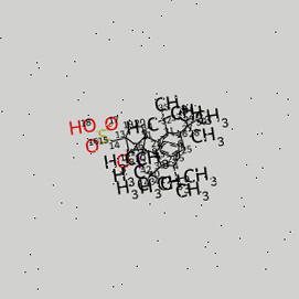 CC(C)(C)c1cccc(C2(I)C(=O)C3(CS(=O)(=O)O)CCC2(c2cccc(C(C)(C)C)c2C(C)(C)C)C3(C)C)c1C(C)(C)C